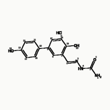 Cl.NC(=O)N/N=C/c1cc(-c2ccc(O)cc2)ccc1O